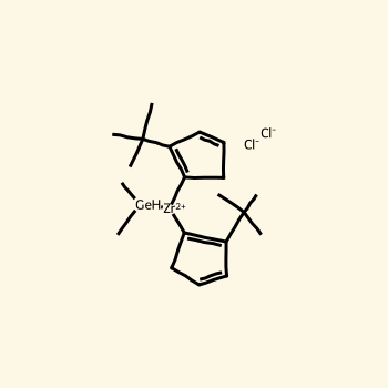 [CH3][GeH]([CH3])[Zr+2]([C]1=C(C(C)(C)C)C=CC1)[C]1=C(C(C)(C)C)C=CC1.[Cl-].[Cl-]